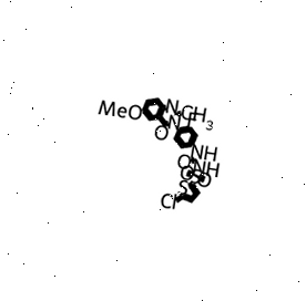 COc1ccc2nc(C)n(-c3ccc(NC(=O)NS(=O)(=O)c4ccc(Cl)s4)cc3F)c(=O)c2c1